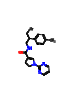 CC(C)CC(CNC(=O)C1=CN(c2ncccn2)CC1)c1ccc(C(F)(F)F)cc1